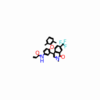 C=CC(=O)Nc1ccc(Oc2c(C)cccc2C)c(-c2cn(C)c(=O)c3cc(C(F)(F)F)ccc23)c1